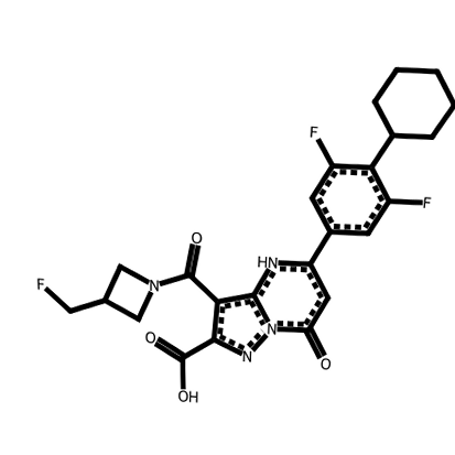 O=C(O)c1nn2c(=O)cc(-c3cc(F)c(C4CCCCC4)c(F)c3)[nH]c2c1C(=O)N1CC(CF)C1